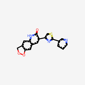 O=c1[nH]c2cc3c(cc2cc1-c1csc(-c2cccnc2)n1)OOC3